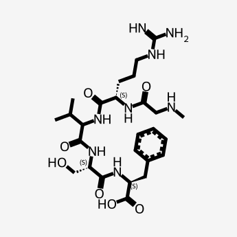 CNCC(=O)N[C@@H](CCCNC(=N)N)C(=O)NC(C(=O)N[C@@H](CO)C(=O)N[C@@H](Cc1ccccc1)C(=O)O)C(C)C